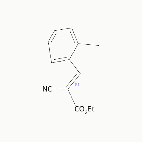 CCOC(=O)/C(C#N)=C/c1ccccc1C